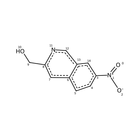 O=[N+]([O-])c1ccc2cc(CO)ncc2c1